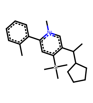 Cc1ccccc1-c1cc([Si](C)(C)C)c(C(C)C2CCCC2)c[n+]1C